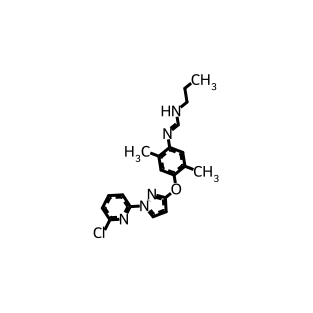 CCCNC=Nc1cc(C)c(Oc2ccn(-c3cccc(Cl)n3)n2)cc1C